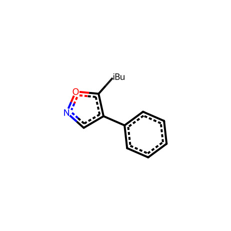 CCC(C)c1oncc1-c1ccccc1